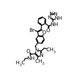 CCNC(=O)c1c(C)nc(CC)n1Cc1ccc2oc(-c3ccccc3C(=O)Nc3nnn[nH]3)c(Br)c2c1